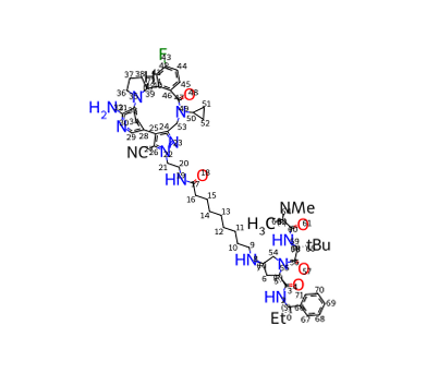 CC[C@H](NC(=O)[C@H]1C[C@@H](NCCCCCCCCC(=O)NCCn2nc3c(c2C#N)-c2cnc(N)c(c2)N2CCC[C@@H]2c2cc(F)ccc2C(=O)N(C2CC2)C3)CN1C(=O)[C@H](NC(=O)[C@@H](C)NC)C(C)(C)C)c1ccccc1